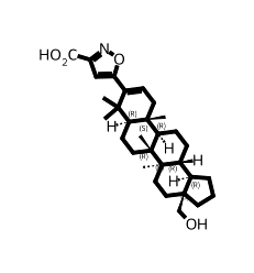 CC1(C)C(c2cc(C(=O)O)no2)=CC[C@]2(C)[C@H]3CC[C@@H]4[C@H]5CCC[C@]5(CO)CC[C@@]4(C)[C@]3(C)CC[C@@H]12